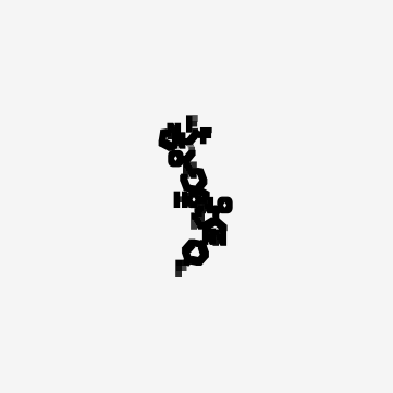 O=C(C[C@@H](C(F)F)n1cccn1)N1CCC(O)(Cn2cnc3c(cnn3-c3ccc(F)cc3)c2=O)CC1